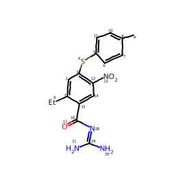 CCc1cc(Sc2ccc(C)cc2)c([N+](=O)[O-])cc1C(=O)N=C(N)N